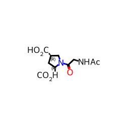 CC(=O)NCC(=O)N1C[C@H](C(=O)O)C[C@@H]1C(=O)O